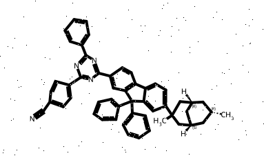 C[C@H]1C[C@@H]2C[C@H](C1)CC(C)(c1ccc3c(c1)C(c1ccccc1)(c1ccccc1)c1cc(-c4nc(-c5ccccc5)nc(-c5ccc(C#N)cc5)n4)ccc1-3)C2